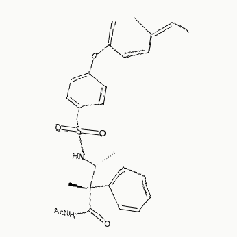 C=C(/C=C\C(C)=C/C)Oc1ccc(S(=O)(=O)N[C@H](C)[C@@](C)(C(=O)NC(C)=O)c2ccccc2)cc1